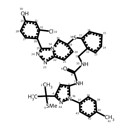 CSC(C)(C)c1cc(NC(=O)NCc2ccccc2Sc2ccc3nnc(-c4ccc(O)cc4Cl)n3c2)n(-c2ccc(C)cc2)n1